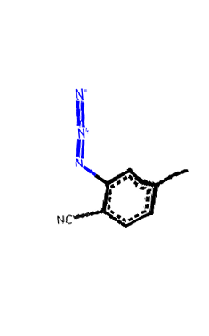 Cc1ccc(C#N)c(N=[N+]=[N-])c1